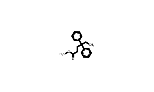 CCC(CCC(=O)O[SiH3])(c1ccccc1)c1ccccc1